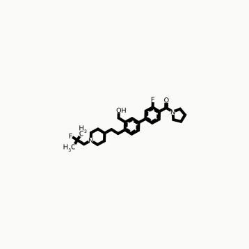 CC(C)(F)CN1CCC(CCc2ccc(-c3ccc(C(=O)N4CCCC4)c(F)c3)cc2CO)CC1